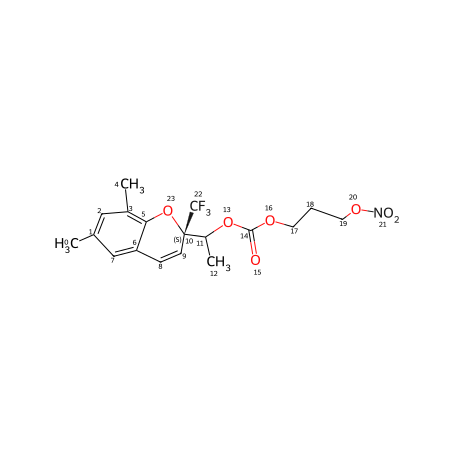 Cc1cc(C)c2c(c1)C=C[C@](C(C)OC(=O)OCCCO[N+](=O)[O-])(C(F)(F)F)O2